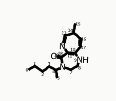 CCCCC(C)N1CCNC2=C(N=CC(C)C=C2)C1=O